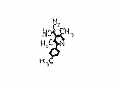 C=C(O)c1c(C)cnc(-c2ccc(C)cc2)c1C